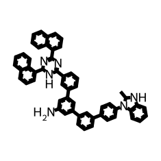 CC1Nc2ccccc2N1c1ccc(-c2cccc(-c3cc(N)cc(-c4cccc(C5=NC(c6cccc7ccccc67)=NC(c6cccc7ccccc67)N5)c4)c3)c2)cc1